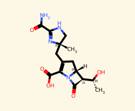 C[C@@H](O)[C@H]1C(=O)N2C(C(=O)O)=C(C[C@@]3(C)CNC(C(N)=O)=N3)C[C@H]12